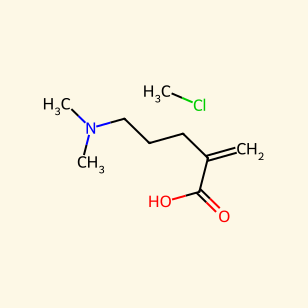 C=C(CCCN(C)C)C(=O)O.CCl